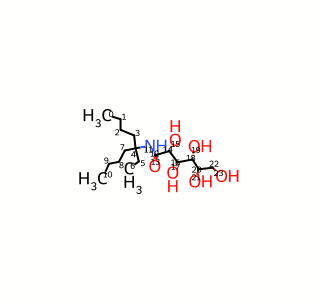 CCCCC(CC)(CCCC)NC(=O)[C@H](O)[C@@H](O)[C@H](O)[C@H](O)CO